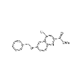 COC(=O)c1cc(Cl)c2cc(OCc3ccccc3)ccc2n1